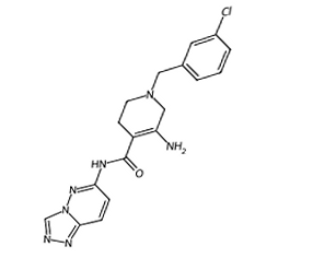 NC1=C(C(=O)Nc2ccc3nncn3n2)CCN(Cc2cccc(Cl)c2)C1